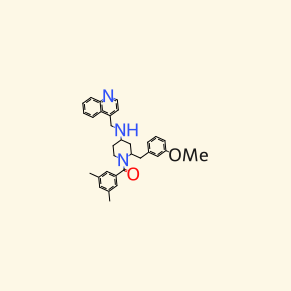 COc1cccc(CC2CC(NCc3ccnc4ccccc34)CCN2C(=O)c2cc(C)cc(C)c2)c1